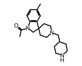 CC(=O)N1CC2(CCN(CC3CCNCC3)CC2)c2cc(C)ccc21